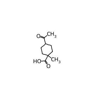 CC(=O)C1CCC(C)(C(=O)O)CC1